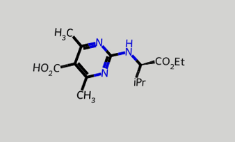 CCOC(=O)[C@H](Nc1nc(C)c(C(=O)O)c(C)n1)C(C)C